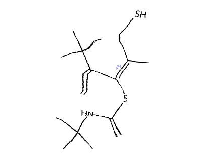 C=C(NC(C)(C)C)S/C(C(=C)C(C)(C)C)=C(\C)CS